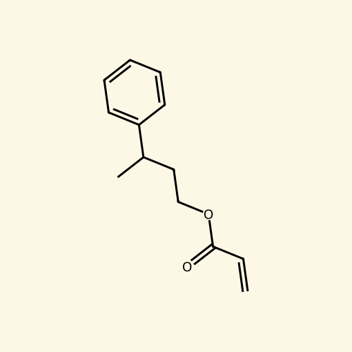 C=CC(=O)OCCC(C)c1ccccc1